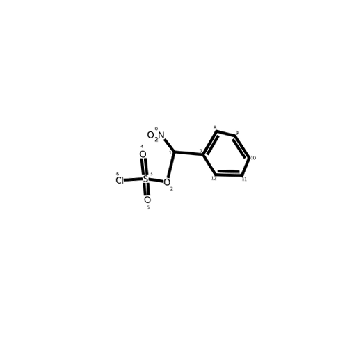 O=[N+]([O-])C(OS(=O)(=O)Cl)c1ccccc1